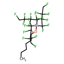 CCCCCC[O][Sn]([C](F)(F)C(F)(F)C(F)(F)CF)([C](F)(F)C(F)(F)C(F)(F)CF)[C](F)(F)C(F)(F)C(F)(F)CF